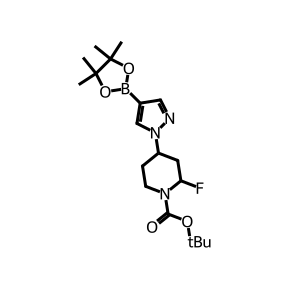 CC(C)(C)OC(=O)N1CCC(n2cc(B3OC(C)(C)C(C)(C)O3)cn2)CC1F